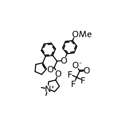 COc1ccc(OC(C(=O)OC2CC[N+](C)(C)C2)c2ccccc2C2=CCCC2)cc1.O=C([O-])C(F)(F)F